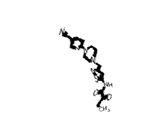 CCC(=O)C(=O)Nc1cc(CN2CCN(c3ccc(C#N)cn3)CC2)ns1